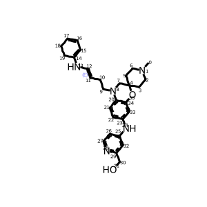 CN1CCC2(CC1)CN(CC/C=C/NC1=CC=CCC1)c1ccc(Nc3ccnc(CO)c3)cc1O2